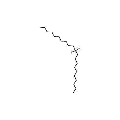 CCCCCCCCCC[Si](I)(I)CCCCCCCCCC